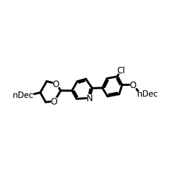 CCCCCCCCCCOc1ccc(-c2ccc(C3OCC(CCCCCCCCCC)CO3)cn2)cc1Cl